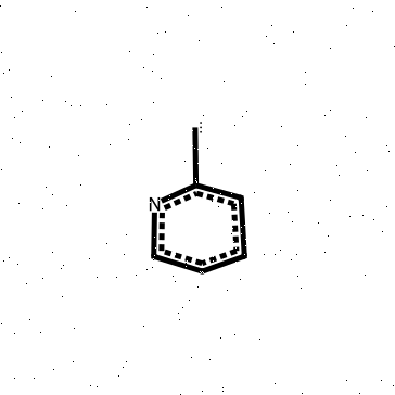 [C]c1ccccn1